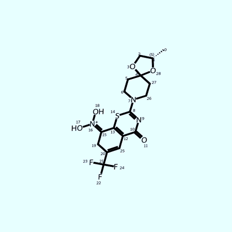 C[C@H]1COC2(CCN(c3nc(=O)c4c(s3)C(=[N+](O)O)CC(C(F)(F)F)=C4)CC2)O1